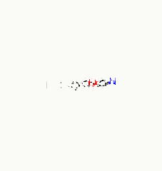 CCCC1CCC(c2ccc(OCc3ccc(C#N)cc3)cc2)CC1